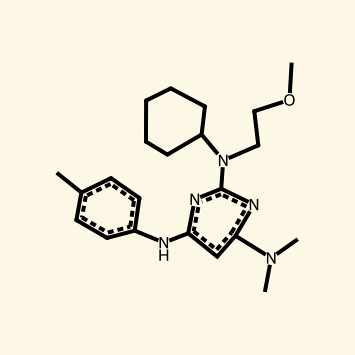 COCCN(c1nc(Nc2ccc(C)cc2)cc(N(C)C)n1)C1CCCCC1